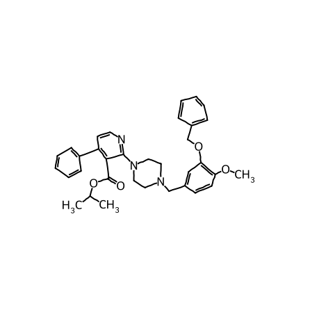 COc1ccc(CN2CCN(c3nccc(-c4ccccc4)c3C(=O)OC(C)C)CC2)cc1OCc1ccccc1